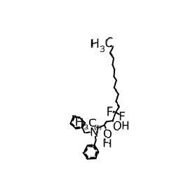 CCCCCCCCCCCCC(F)(F)C(O)CC(O)[C@H](C)N(Cc1ccccc1)Cc1ccccc1